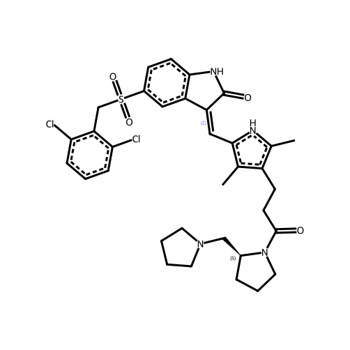 Cc1[nH]c(/C=C2\C(=O)Nc3ccc(S(=O)(=O)Cc4c(Cl)cccc4Cl)cc32)c(C)c1CCC(=O)N1CCC[C@H]1CN1CCCC1